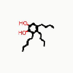 CCCCCc1c(O)c(O)cc(CCCC)c1CCCC